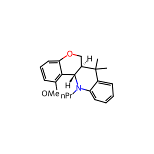 CCCN1c2ccccc2C(C)(C)[C@@H]2COc3cccc(OC)c3[C@H]21